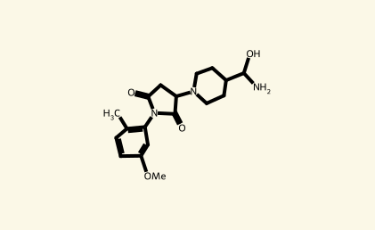 COc1ccc(C)c(N2C(=O)CC(N3CCC(C(N)O)CC3)C2=O)c1